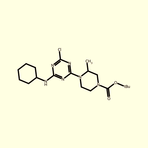 CC1CN(C(=O)OC(C)(C)C)CCN1c1nc(Cl)nc(NC2CCCCC2)n1